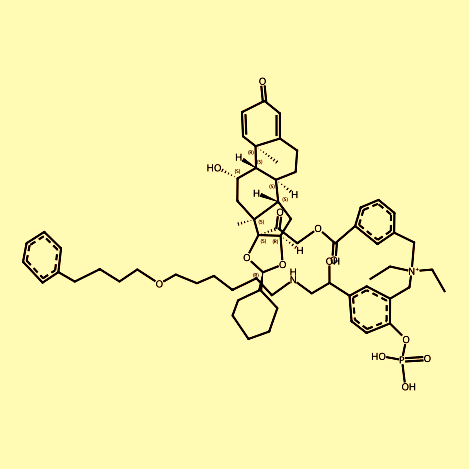 CC[N+](CC)(Cc1cccc(C(=O)OCC(=O)[C@@]23O[C@H](C4CCCCC4)O[C@@H]2C[C@H]2[C@@H]4CCC5=CC(=O)C=C[C@]5(C)[C@H]4[C@@H](O)C[C@@]23C)c1)Cc1cc(C(O)CNCCCCCCOCCCCc2ccccc2)ccc1OP(=O)(O)O